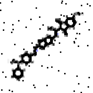 CCCCCc1ccc2c(c1)C(=O)C(/C(C#N)=C/c1cc3sc(/N=N/c4ccc(N(C)c5ccccc5)cc4)nc3s1)C2=O